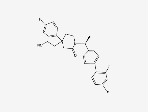 C[C@@H](c1ccc(-c2ccc(F)cc2F)cc1)N1CCC(CCC#N)(c2ccc(F)cc2)CC1=O